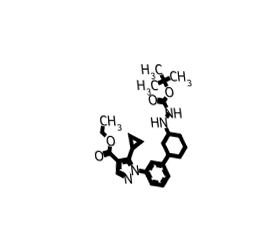 CCOC(=O)c1cnn(-c2cccc(C3CCCC(NNC(=O)OC(C)(C)C)C3)c2)c1C1CC1